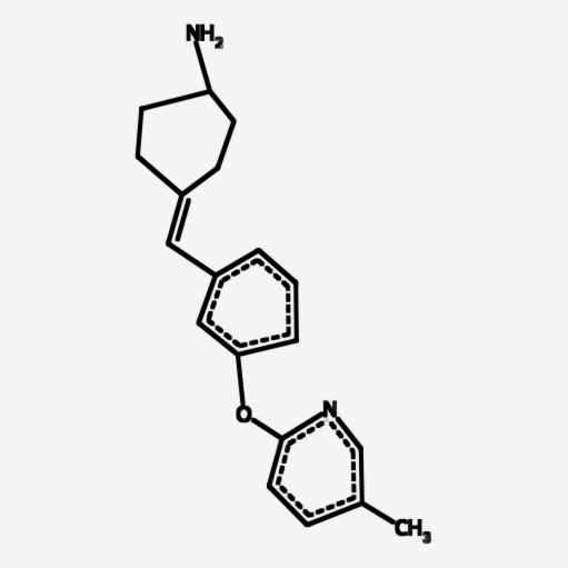 Cc1ccc(Oc2cccc(C=C3CCC(N)CC3)c2)nc1